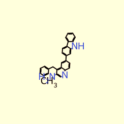 Cc1cccc(Cc2c(N)cnc3ccc(-c4ccc5c(c4)[nH]c4ccccc45)cc23)c1